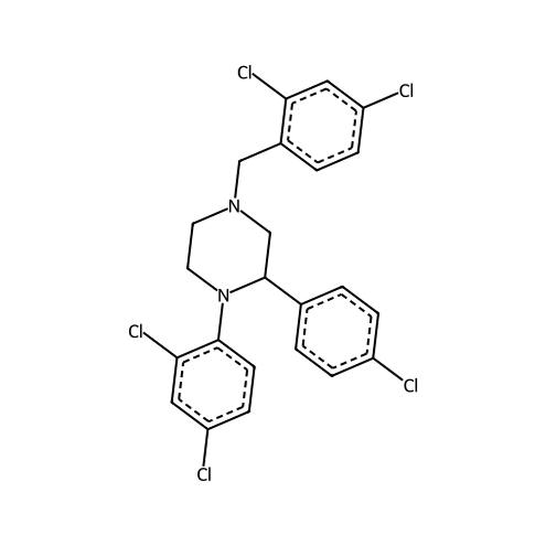 Clc1ccc(C2CN(Cc3ccc(Cl)cc3Cl)CCN2c2ccc(Cl)cc2Cl)cc1